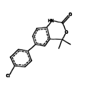 CC1(C)OC(=O)Nc2ccc(-c3ccc(Cl)cc3)cc21